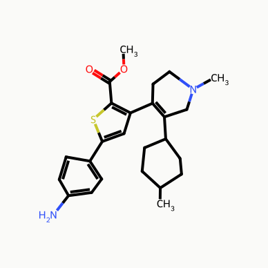 COC(=O)c1sc(-c2ccc(N)cc2)cc1C1=C(C2CCC(C)CC2)CN(C)CC1